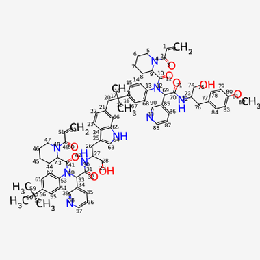 C=CC(=O)N1CCCCC1C(=O)N(c1ccc(C(C)(C)Cc2ccc3c(CC(CO)NC(=O)C(c4cccnc4)N(C(=O)C4CCCCN4C(=O)C=C)c4ccc(C(C)(C)C)cc4)c[nH]c3c2)cc1)C(C(=O)NC(CO)Cc1ccc(OC)cc1)c1cccnc1